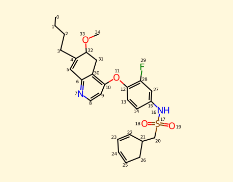 CCCCC1=Cc2nccc(Oc3ccc(NS(=O)(=O)CC4C=CC=CC4)cc3F)c2CC1OC